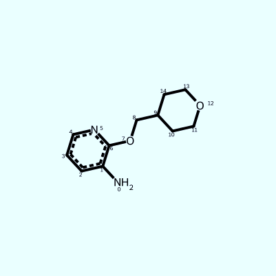 Nc1cccnc1OCC1CCOCC1